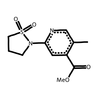 COC(=O)c1cc(N2CCCS2(=O)=O)ncc1C